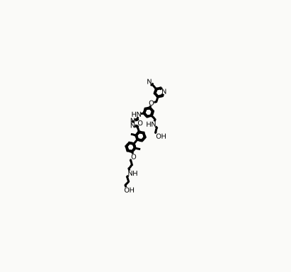 Cc1c(OCCCNCCCO)cccc1-c1cccc(-c2nnc(Nc3cc(CNCCO)cc(OCc4cncc(C#N)c4)c3)o2)c1C